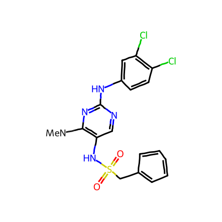 CNc1nc(Nc2ccc(Cl)c(Cl)c2)ncc1NS(=O)(=O)Cc1ccccc1